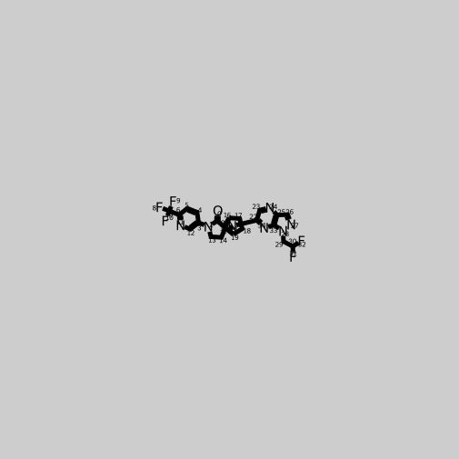 O=C1N(c2ccc(C(F)(F)F)nc2)CCC12C1CCC2CN(c2cnc3cnn(CC(F)F)c3n2)C1